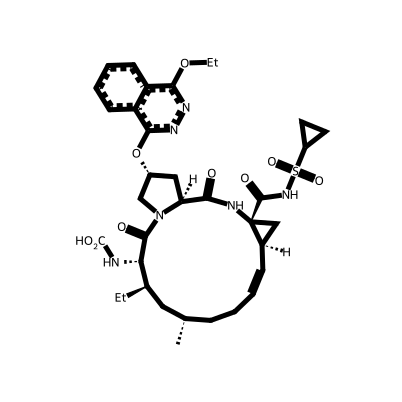 CCOc1nnc(O[C@@H]2C[C@H]3C(=O)N[C@]4(C(=O)NS(=O)(=O)C5CC5)C[C@H]4C=CCC[C@H](C)C[C@@H](CC)[C@H](NC(=O)O)C(=O)N3C2)c2ccccc12